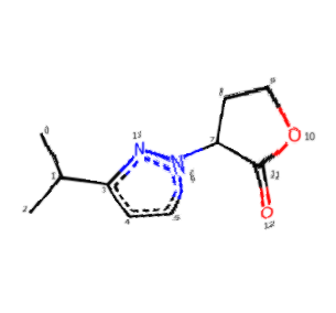 CC(C)c1ccn(C2CCOC2=O)n1